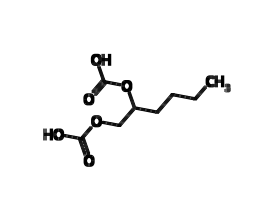 CCCCC(COC(=O)O)OC(=O)O